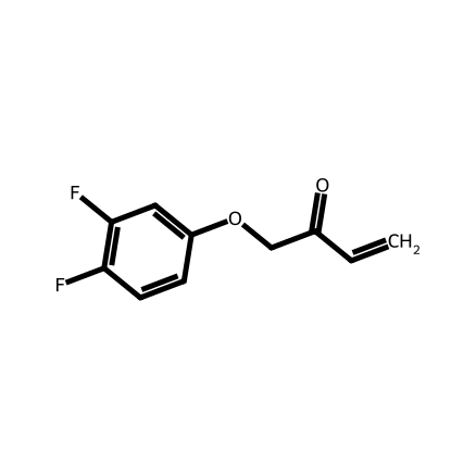 C=CC(=O)COc1ccc(F)c(F)c1